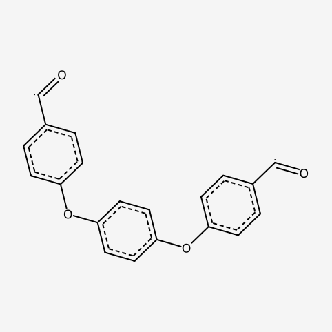 O=[C]c1ccc(Oc2ccc(Oc3ccc([C]=O)cc3)cc2)cc1